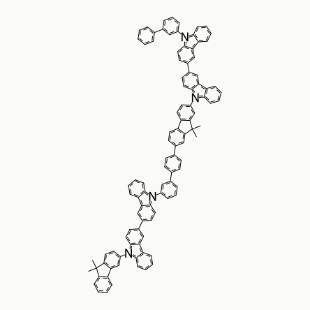 CC1(C)c2ccccc2-c2cc(-n3c4ccccc4c4cc(-c5ccc6c(c5)c5ccccc5n6-c5cccc(-c6ccc(-c7ccc8c(c7)C(C)(C)c7cc(-n9c%10ccccc%10c%10cc(-c%11ccc%12c(c%11)c%11ccccc%11n%12-c%11cccc(-c%12ccccc%12)c%11)ccc%109)ccc7-8)cc6)c5)ccc43)ccc21